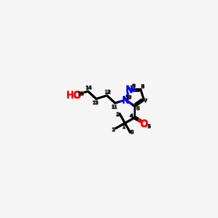 CC(C)(C)C(=O)c1ccnn1CCCCO